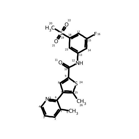 Cc1cccnc1-c1cc(C(=O)Nc2cc(F)cc(S(C)(=O)=O)c2)sc1C